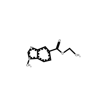 CCOC(=O)c1ccc2c(c1)ncn2C